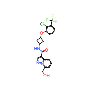 O=C(NC1CC(Oc2cccc(C(F)(F)F)c2Cl)C1)c1cnn2c(CO)cccc12